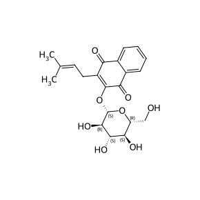 CC(C)=CCC1=C(O[C@@H]2O[C@H](CO)[C@@H](O)[C@H](O)[C@H]2O)C(=O)c2ccccc2C1=O